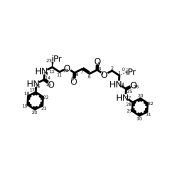 CC(C)[C@@H](COC(=O)/C=C/C(=O)OC[C@@H](NC(=O)Nc1ccccc1)C(C)C)NC(=O)Nc1ccccc1